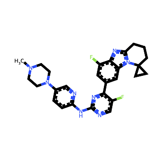 CN1CCN(c2ccc(Nc3ncc(F)c(-c4cc(F)c5nc6n(c5c4)C4(CCC6)CC4)n3)nc2)CC1